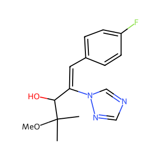 COC(C)(C)C(O)/C(=C/c1ccc(F)cc1)n1cncn1